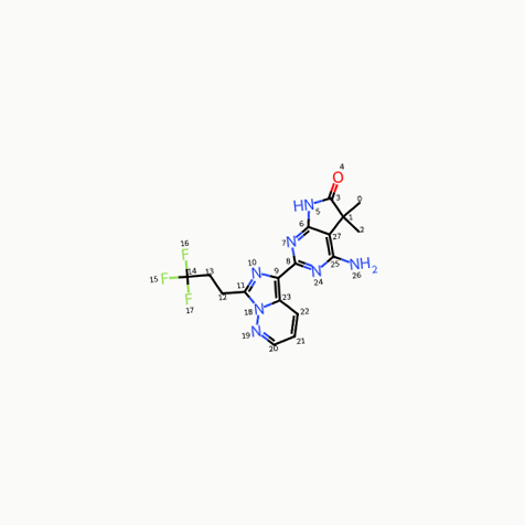 CC1(C)C(=O)Nc2nc(-c3nc(CCC(F)(F)F)n4ncccc34)nc(N)c21